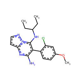 CCC(CC)Nc1c(-c2ccc(OC)cc2Cl)c(N)nc2ccnn12